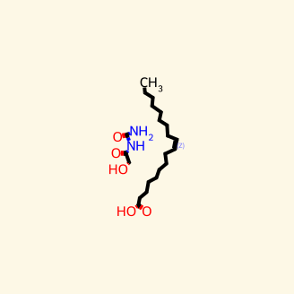 CCCCCCCC/C=C\CCCCCCCC(=O)O.NC(=O)NC(=O)CO